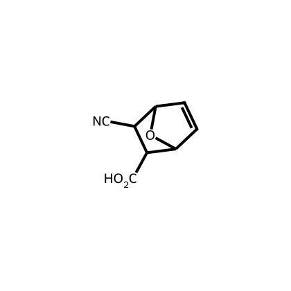 N#CC1C2C=CC(O2)C1C(=O)O